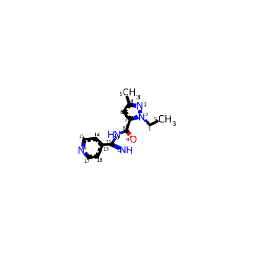 CCn1nc(C)cc1C(=O)NC(=N)c1ccncc1